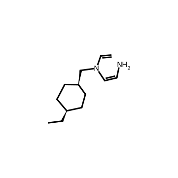 C=CN(/C=C\N)C[C@H]1CC[C@@H](CC)CC1